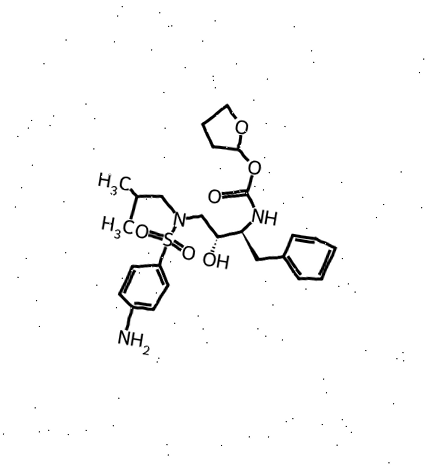 CC(C)CN(C[C@@H](O)[C@H](Cc1ccccc1)NC(=O)OC1CCCO1)S(=O)(=O)c1ccc(N)cc1